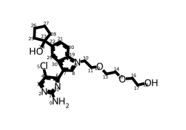 Nc1ncc(Cl)c(-c2cn(CCOCCOCCO)c3ccc(C4(O)CCCC4)cc23)n1